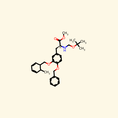 COC(=O)[C@H](Cc1ccc(OCc2ccccc2)c(OCC2C=CC=CC2C)c1)NCOC(C)(C)C